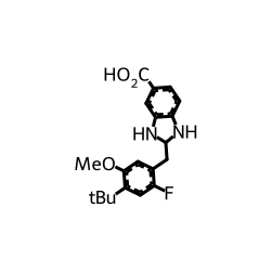 COc1cc(CC2Nc3ccc(C(=O)O)cc3N2)c(F)cc1C(C)(C)C